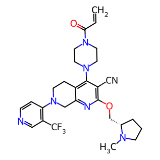 C=CC(=O)N1CCN(c2c(C#N)c(OC[C@@H]3CCCN3C)nc3c2CCN(c2ccncc2C(F)(F)F)C3)CC1